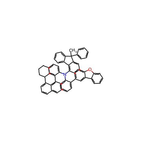 CC1(c2ccccc2)c2ccccc2-c2c(N(c3ccccc3-c3ccc4oc5ccccc5c4c3)c3ccccc3-c3cccc4cccc(C5CCCCC5)c34)cccc21